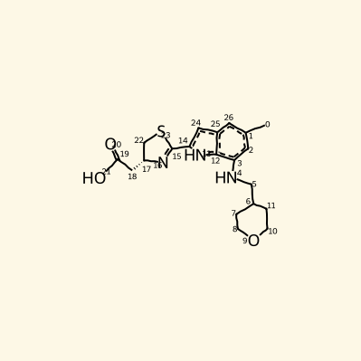 Cc1cc(NCC2CCOCC2)c2[nH]c(C3=N[C@H](CC(=O)O)CS3)cc2c1